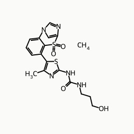 C.Cc1nc(NC(=O)NCCCO)sc1-c1cccc2c1S(=O)(=O)c1cn-2cn1